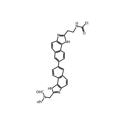 CCCN(C=O)Cc1nc2ccc3cc(-c4ccc5c(ccc6nc(CCNC(=O)CC)[nH]c65)c4)ccc3c2[nH]1